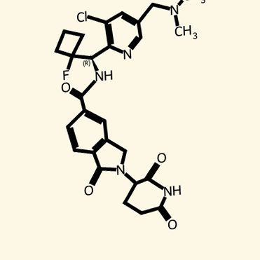 CN(C)Cc1cnc([C@@H](NC(=O)c2ccc3c(c2)CN(C2CCC(=O)NC2=O)C3=O)C2(F)CCC2)c(Cl)c1